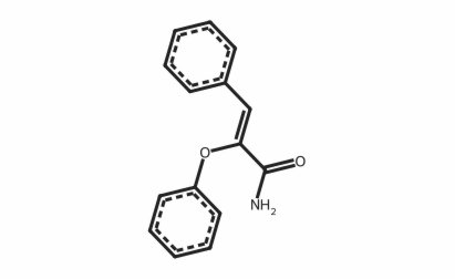 NC(=O)C(=Cc1ccccc1)Oc1ccccc1